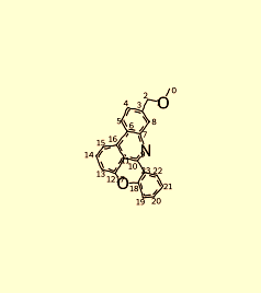 COCc1ccc2c(c1)nc1c3c(cccc32)Oc2ccccc2-1